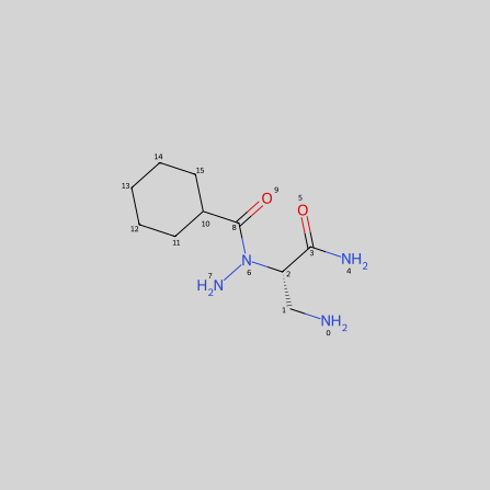 NC[C@@H](C(N)=O)N(N)C(=O)C1CCCCC1